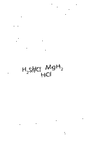 Cl.Cl.[MgH2].[SnH2]